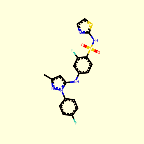 Cc1cc(Nc2ccc(S(=O)(=O)Nc3nccs3)c(F)c2)n(-c2ccc(F)cc2)n1